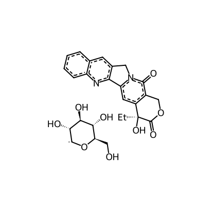 CC[C@@]1(O)C(=O)OCc2c1cc1n(c2=O)Cc2cc3ccccc3nc2-1.OC[C@H]1O[CH][C@H](O)[C@@H](O)[C@@H]1O